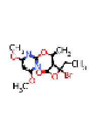 C=C(Oc1nc(OC)cc(OC)n1)C1C(=O)OC1(Br)CC